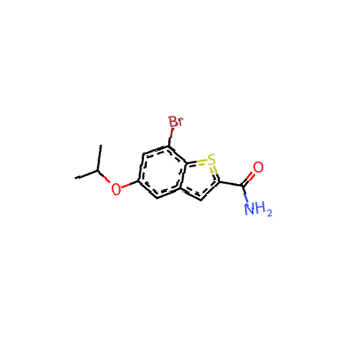 CC(C)Oc1cc(Br)c2sc(C(N)=O)cc2c1